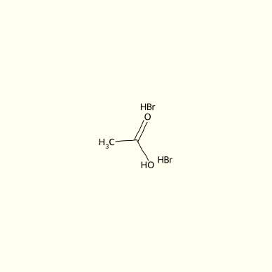 Br.Br.CC(=O)O